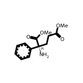 COC(=O)CC[C@](N)(C(=O)OC)c1ccccc1